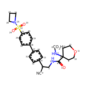 N#CC(CNC(=O)C1(NC(=O)O)CCOCC1)c1ccc(-c2ccc(S(=O)(=O)N3CCC3)cc2)cc1